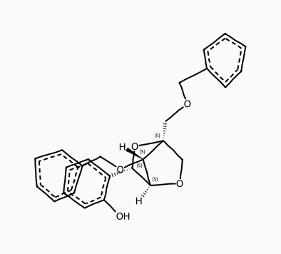 Oc1ccccc1[C@@H]1O[C@@]2(COCc3ccccc3)CO[C@@H]1[C@@H]2OCc1ccccc1